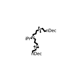 CCCCCCCCCCCC[N+](C)(C)CCCN(CCC[N+](C)(C)CCCCCCCCCCCC)C(C)C